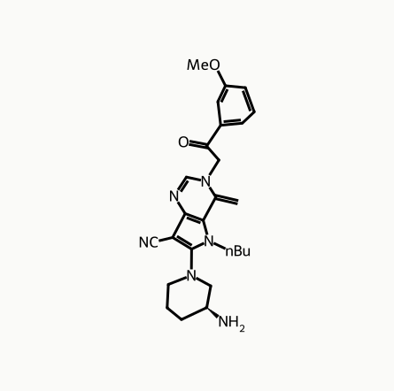 C=C1c2c(c(C#N)c(N3CCC[C@H](N)C3)n2CCCC)N=CN1CC(=O)c1cccc(OC)c1